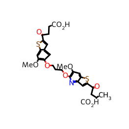 COc1cc2sc(C(=O)CCC(=O)O)cc2cc1OCCCOc1nc2cc(C(=O)CC(C)C(=O)O)sc2cc1OC